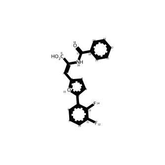 O=C(O)C(=Cc1ccc(-c2cccc(F)c2F)o1)NC(=O)c1ccccc1